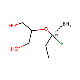 B[C@](F)(CC)OC(CO)CO